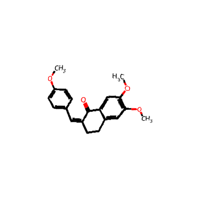 COc1ccc(C=C2CCc3cc(OC)c(OC)cc3C2=O)cc1